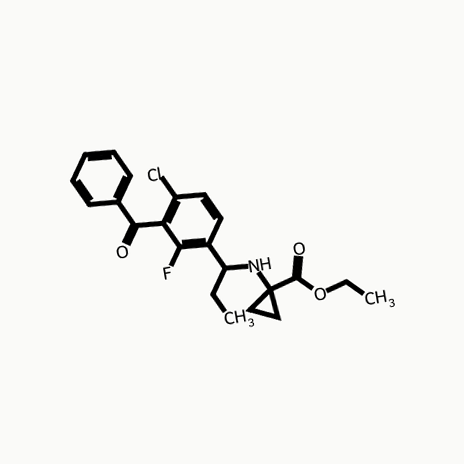 CCOC(=O)C1(NC(CC)c2ccc(Cl)c(C(=O)c3ccccc3)c2F)CC1